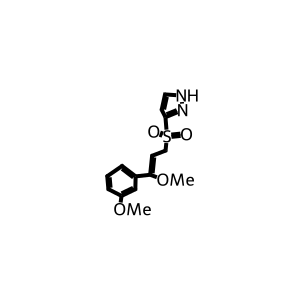 COC(=CCS(=O)(=O)c1cc[nH]n1)c1cccc(OC)c1